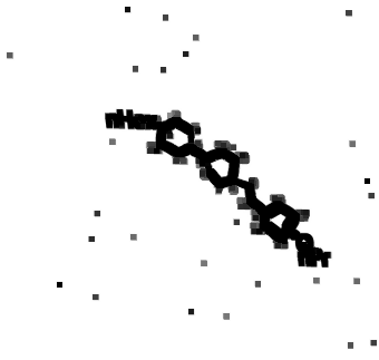 CCCCCC[C@H]1CC[C@H]([C@H]2CC[C@H](CCc3ccc(OCCC)cc3)CC2)CC1